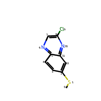 CSc1ccc2ncc(Cl)nc2c1